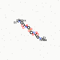 CCCCCCN(CC(CC)CCCC)c1ccc2cc(-c3nc4cc(S(=O)(=O)c5ccc6oc(-c7cc8ccc(N(CCCCCC)CC(CC)CCCC)cc8oc7=O)nc6c5)ccc4o3)c(=O)oc2c1